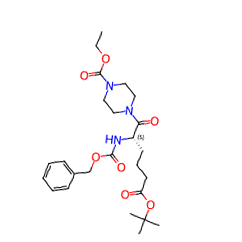 CCOC(=O)N1CCN(C(=O)[C@H](CCCC(=O)OC(C)(C)C)NC(=O)OCc2ccccc2)CC1